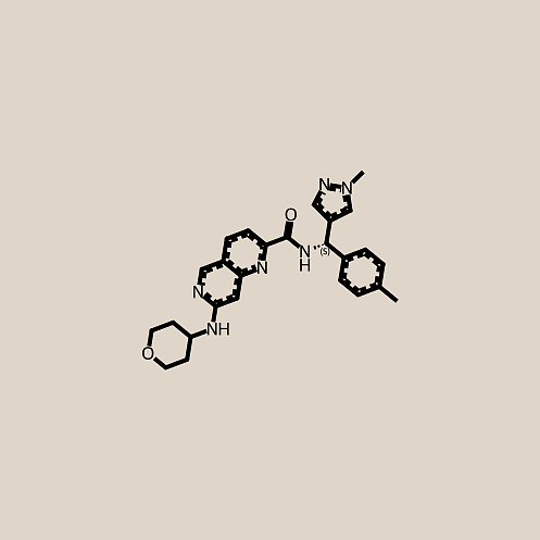 Cc1ccc([C@H](NC(=O)c2ccc3cnc(NC4CCOCC4)cc3n2)c2cnn(C)c2)cc1